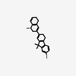 C[C@@H]1CC(C2=CC3=C(CC2)c2ccc(I)cc2C3(C)C)=CC2=C1C=CCC2